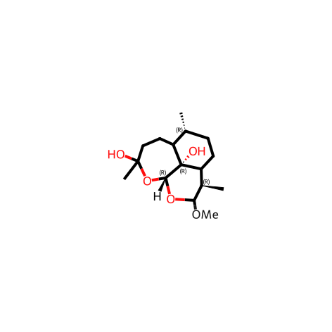 COC1O[C@@H]2OC(C)(O)CCC3[C@H](C)CCC([C@H]1C)[C@]32O